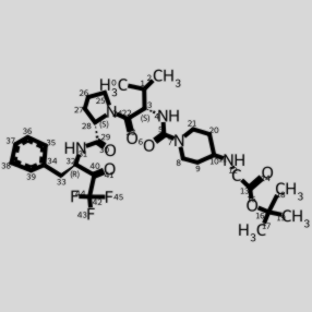 CC(C)[C@H](NC(=O)N1CCC(NCC(=O)OC(C)(C)C)CC1)C(=O)N1CCC[C@H]1C(=O)N[C@H](Cc1ccccc1)C(=O)C(F)(F)F